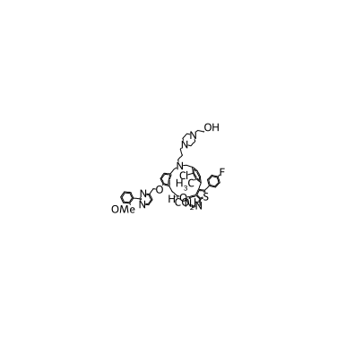 COc1ccccc1-c1nccc(COc2ccc3cc2C[C@H](C(=O)O)Oc2ncnc4sc(-c5ccc(F)cc5)c(c24)-c2ccc(c(Cl)c2C)CN(CCCN2CCN(CCO)CC2)C3)n1